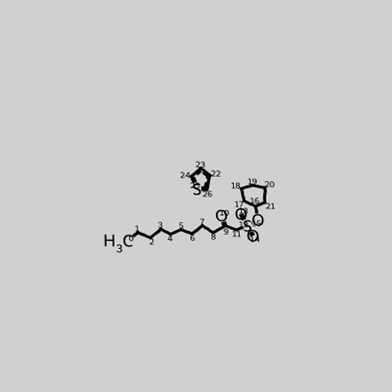 CCCCCCCCCC(=O)CS(=O)(=O)OC1CCCCC1.c1ccsc1